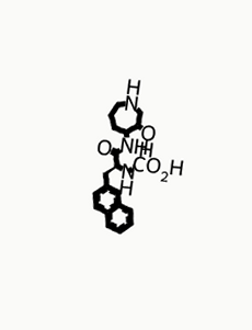 O=C(O)N[C@@H](Cc1ccc2ccccc2c1)C(=O)NC1CCCNCC1O